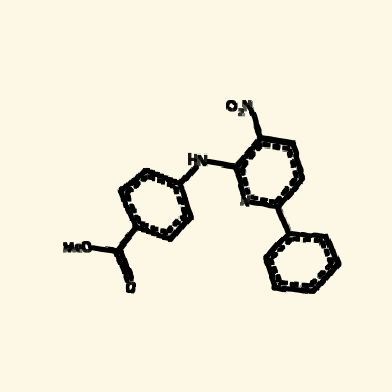 COC(=O)c1ccc(Nc2nc(-c3ccccc3)ccc2[N+](=O)[O-])cc1